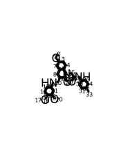 COc1ccc2c(c1)cc(CNc1ccc(OC)c(OC)c1)c(=O)n2CC(=O)Nc1ccc(C)cc1